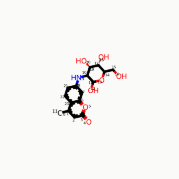 [11CH3]c1cc(=O)oc2cc(NC3C(O)OC(CO)[C@@H](O)[C@@H]3O)ccc12